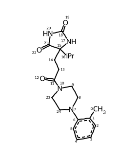 Cc1ccccc1N1CCN(C(=O)CCC2(C(C)C)NC(=O)NC2=O)CC1